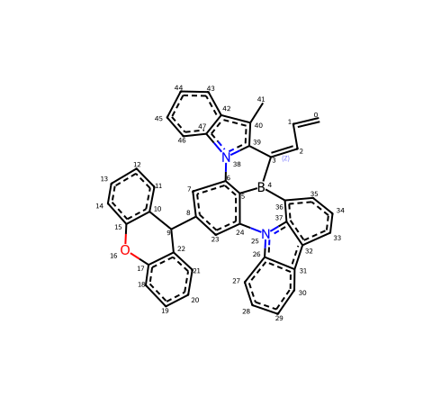 C=C/C=C1/B2c3c(cc(C4c5ccccc5Oc5ccccc54)cc3-n3c4ccccc4c4cccc2c43)-n2c1c(C)c1ccccc12